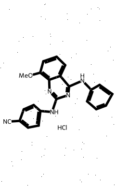 COc1cccc2c(Nc3ccccc3)nc(Nc3ccc(C#N)cc3)nc12.Cl